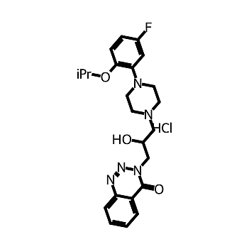 CC(C)Oc1ccc(F)cc1N1CCN(CC(O)Cn2nnc3ccccc3c2=O)CC1.Cl